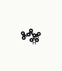 c1ccc([SiH](c2ccccc2)c2cc(-n3c4ccccc4c4cc(-n5c6ccccc6c6ccccc65)ccc43)cc3c2oc2ccccc23)cc1